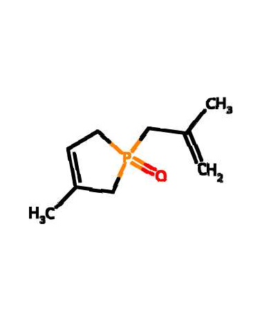 C=C(C)CP1(=O)CC=C(C)C1